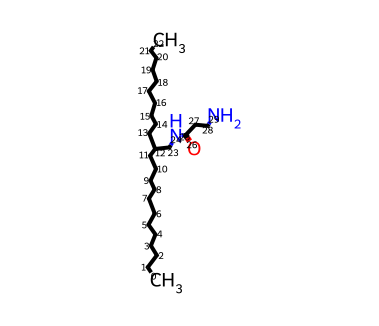 CCCCCCCCCCCCC(CCCCCCCCCC)CNC(=O)CCN